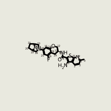 Cc1ccc2c(N)c(C(=O)N[C@@H]3COc4cc(N5CC6CCC(C5)N6)cc(F)c4C3)sc2n1